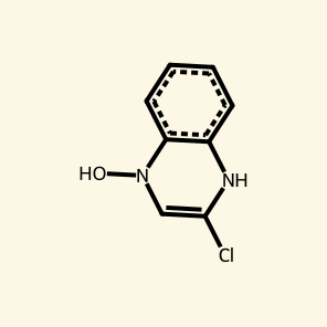 ON1C=C(Cl)Nc2ccccc21